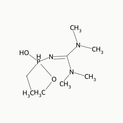 CC[PH](O)(N=C(N(C)C)N(C)C)OC